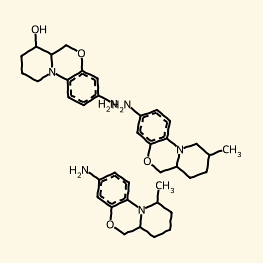 CC1CCC2COc3cc(N)ccc3N2C1.CC1CCCC2COc3cc(N)ccc3N12.Nc1ccc2c(c1)OCC1C(O)CCCN21